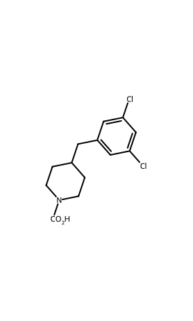 O=C(O)N1CCC(Cc2cc(Cl)cc(Cl)c2)CC1